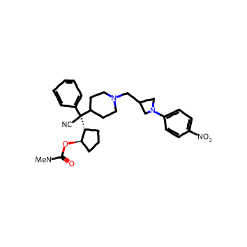 CNC(=O)O[C@@H]1CCC[C@H]1C(C#N)(c1ccccc1)C1CCN(CC2CN(c3ccc([N+](=O)[O-])cc3)C2)CC1